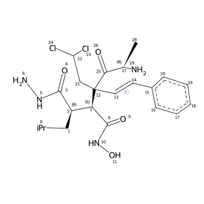 CC(C)C[C@@H](C(=O)NN)[C@H](C(=O)NO)C(/C=C/c1ccccc1)(CC(Cl)Cl)C(=O)[C@@H](C)N